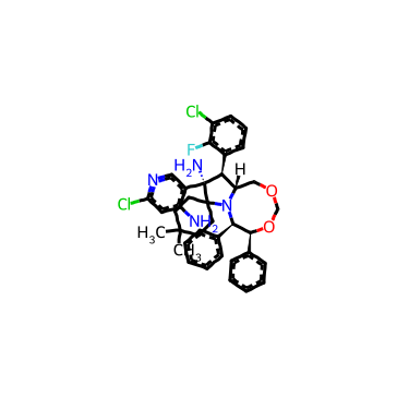 CC1(C)CCC2(CC1)N1[C@H](c3ccccc3)[C@H](c3ccccc3)OCOC[C@H]1[C@H](c1cccc(Cl)c1F)[C@]2(N)c1cnc(Cl)cc1N